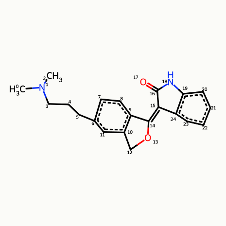 CN(C)CCCc1ccc2c(c1)COC2=C1C(=O)Nc2ccccc21